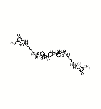 Cc1cc(=O)nc(NC(=O)NCCCCCCNS(=O)(=O)CC23CCC(/C(=C\c4ccc(/C=C5/C(=O)C6(CS(=O)(=O)NCCCCCCNC(=O)Nc7nc(=O)cc(C)[nH]7)CCC5C6(C)C)cc4)C2=O)C3(C)C)[nH]1